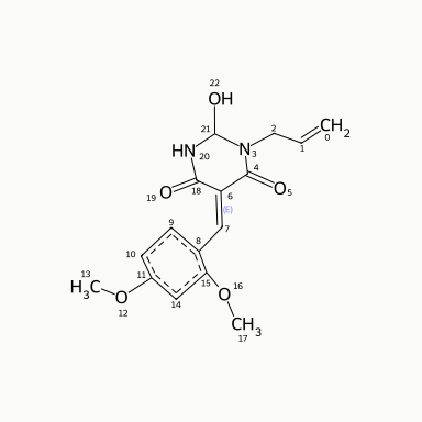 C=CCN1C(=O)/C(=C/c2ccc(OC)cc2OC)C(=O)NC1O